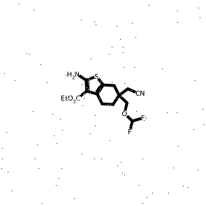 CCOC(=O)c1c(N)sc2c1CCC(CC#N)(COC(F)F)C2